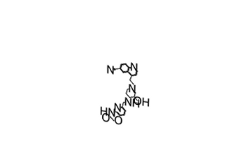 N#Cc1ccc2nccc(CCN3CCC(NCc4ccc5c(n4)NC(=O)CO5)C(O)C3)c2c1